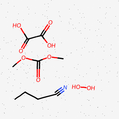 CCCC#N.COC(=O)OC.O=C(O)C(=O)O.OO